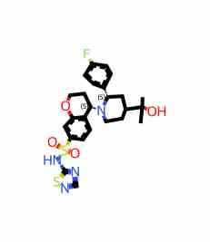 CC(C)(O)C1CCN([C@H]2CCOc3cc(S(=O)(=O)Nc4ncns4)ccc32)[C@H](c2ccc(F)cc2)C1